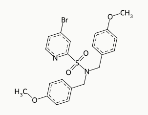 COc1ccc(CN(Cc2ccc(OC)cc2)S(=O)(=O)c2cc(Br)ccn2)cc1